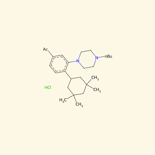 CCCCN1CCN(c2cc(C(C)=O)ccc2C2CC(C)(C)CC(C)(C)C2)CC1.Cl